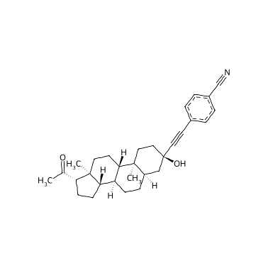 CC(=O)[C@H]1CC[C@H]2[C@@H]3CC[C@@H]4C[C@@](O)(C#Cc5ccc(C#N)cc5)CC[C@]4(C)[C@H]3CC[C@]12C